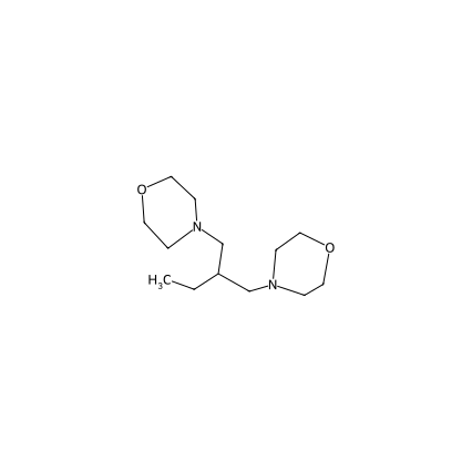 CCC(CN1CCOCC1)CN1CCOCC1